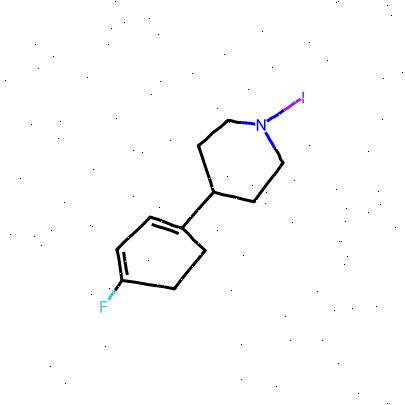 FC1=CC=C(C2CCN(I)CC2)CC1